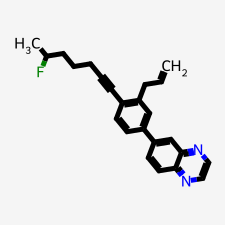 C=CCc1cc(-c2ccc3nccnc3c2)ccc1C#CCCCC(C)F